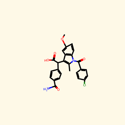 COc1ccc2c(c1)c(C(C(=O)O)c1ccc(C(N)=O)cc1)c(C)n2C(=O)c1ccc(Cl)cc1